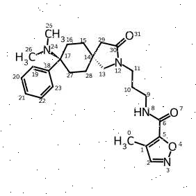 Cc1cnoc1C(=O)NCCCN1C[C@]2(CC[C@](c3ccccc3)(N(C)C)CC2)CC1=O